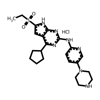 CCS(=O)(=O)c1cc2c(C3CCCC3)nc(Nc3ccc(N4CCNCC4)cn3)nc2[nH]1.Cl